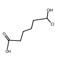 O=C(O)CCCCC(O)Cl